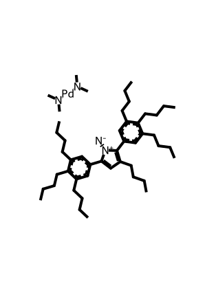 CCCCC1=C(c2cc(CCCC)c(CCCC)c(CCCC)c2)[N+](=[N-])C(c2cc(CCCC)c(CCCC)c(CCCC)c2)=C1.C[N](C)[Pd][N](C)C